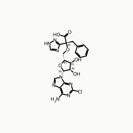 Nc1nc(Cl)nc2c1ncn2[C@@H]1O[C@H](CO[C@@](Cc2ccccc2)(C(=O)O)c2nc[nH]n2)[C@@H](O)[C@H]1O